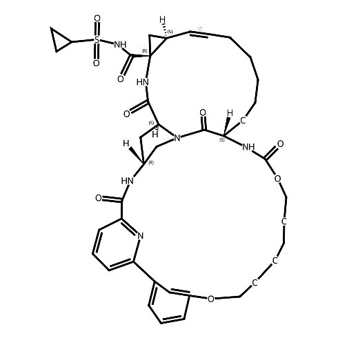 O=C1N[C@H]2CCCCC/C=C\[C@@H]3C[C@@]3(C(=O)NS(=O)(=O)C3CC3)NC(=O)[C@@H]3C[C@H](CN3C2=O)NC(=O)c2cccc(n2)-c2cccc(c2)OCCCCCCO1